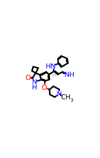 CN1CCC(Oc2cc(/C(=C/C=N)Nc3ccccc3)cc3c2NC(=O)C32CCC2)CC1